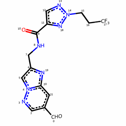 O=Cc1cnn2cc(CNC(=O)c3cnn(CCC(F)(F)F)n3)nc2c1